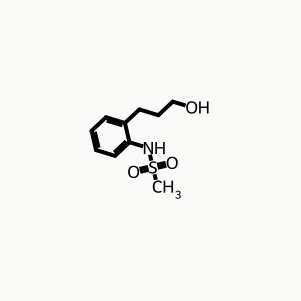 CS(=O)(=O)Nc1ccccc1CCCO